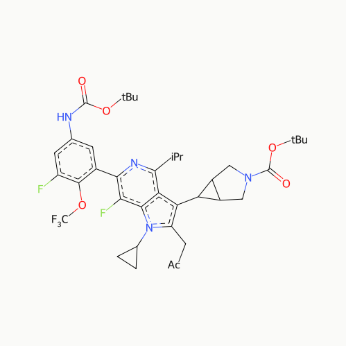 CC(=O)Cc1c(C2C3CN(C(=O)OC(C)(C)C)CC32)c2c(C(C)C)nc(-c3cc(NC(=O)OC(C)(C)C)cc(F)c3OC(F)(F)F)c(F)c2n1C1CC1